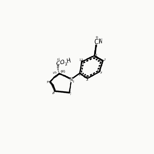 N#Cc1cccc(N2CCC[C@@H]2C(=O)O)c1